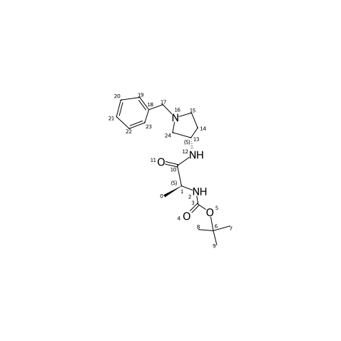 C[C@H](NC(=O)OC(C)(C)C)C(=O)N[C@H]1CCN(Cc2ccccc2)C1